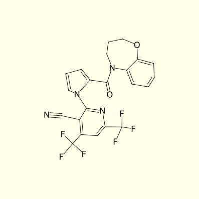 N#Cc1c(C(F)(F)F)cc(C(F)(F)F)nc1-n1cccc1C(=O)N1CCCOc2ccccc21